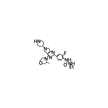 CCNC(=O)Nc1ccc(-c2nc3c(c(N4CCOCC4C)n2)CN(C2CCNCC2)C3)cc1F